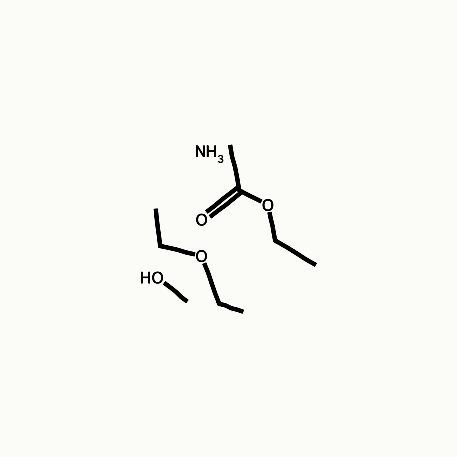 CCOC(C)=O.CCOCC.CO.N